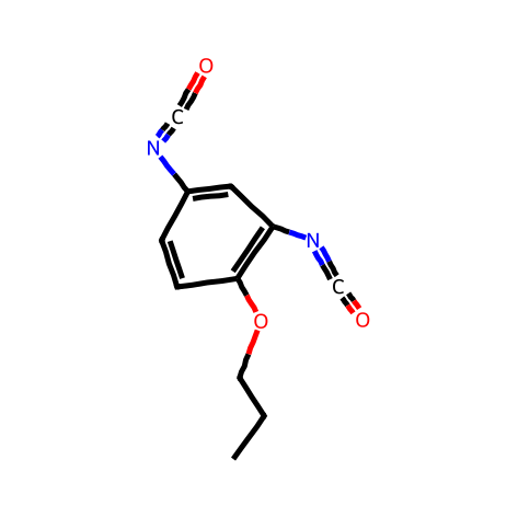 CCCOc1ccc(N=C=O)cc1N=C=O